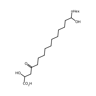 CCCCCCC(O)CCCCCCCCCCC(=O)CC(O)C(=O)O